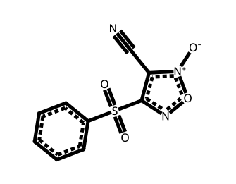 N#Cc1c(S(=O)(=O)c2ccccc2)no[n+]1[O-]